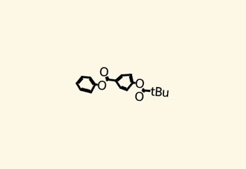 CC(C)(C)C(=O)Oc1ccc(C(=O)Oc2ccccc2)cc1